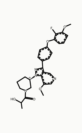 COc1cccc(Oc2ccc(-c3nn([C@@H]4CCCN(C(=O)C(C)O)C4)c4c(OC)cncc34)cc2)c1F